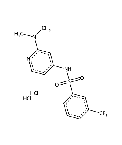 CN(C)c1cc(NS(=O)(=O)c2cccc(C(F)(F)F)c2)ccn1.Cl.Cl